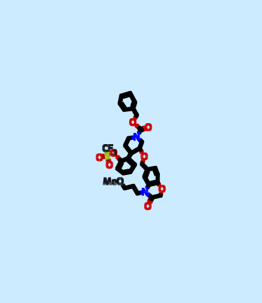 COCCCN1C(=O)COc2ccc(COC3CN(C(=O)OCc4ccccc4)CCC3c3ccccc3OS(=O)(=O)C(F)(F)F)cc21